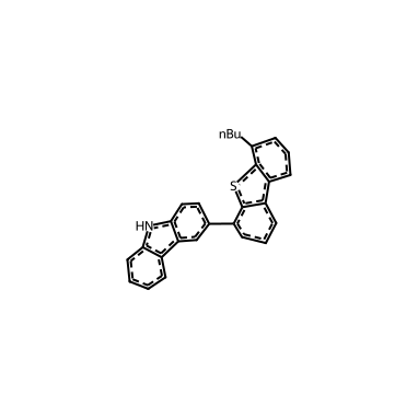 CCCCc1cccc2c1sc1c(-c3ccc4[nH]c5ccccc5c4c3)cccc12